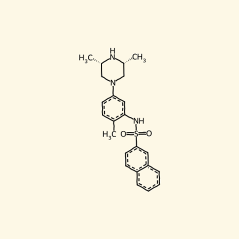 Cc1ccc(N2C[C@@H](C)N[C@@H](C)C2)cc1NS(=O)(=O)c1ccc2ccccc2c1